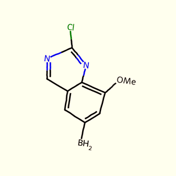 Bc1cc(OC)c2nc(Cl)ncc2c1